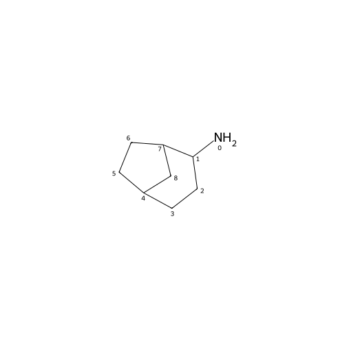 NC1CCC2CCC1C2